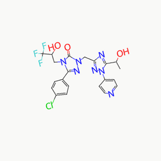 CC(O)c1nc(Cn2nc(-c3ccc(Cl)cc3)n(CC(O)C(F)(F)F)c2=O)nn1-c1ccncc1